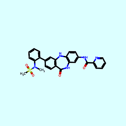 CN(c1ccccc1-c1ccc2c(c1)Nc1ccc(NC(=O)c3ccccn3)cc1NC2=O)S(C)(=O)=O